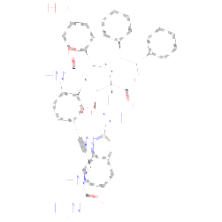 NC(=O)NCC#Cc1ccc2c(c1)[C@]1(C(=O)N2)[C@H](C(=O)Nc2nc3ccccc3s2)[C@H]2C(=O)O[C@H](c3ccccc3)[C@H](c3ccccc3)N2[C@@H]1c1ccc(O)cc1